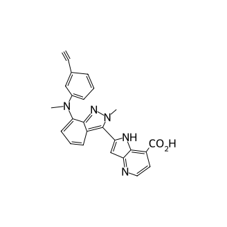 C#Cc1cccc(N(C)c2cccc3c(-c4cc5nccc(C(=O)O)c5[nH]4)n(C)nc23)c1